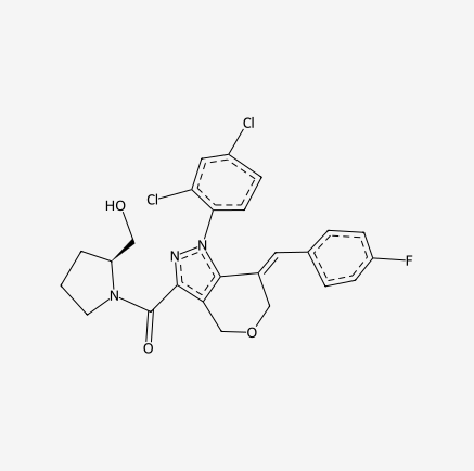 O=C(c1nn(-c2ccc(Cl)cc2Cl)c2c1COCC2=Cc1ccc(F)cc1)N1CCC[C@H]1CO